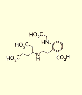 O=C(O)CCC(CC(=O)O)NCCc1c(NCC(=O)O)cccc1C(=O)O